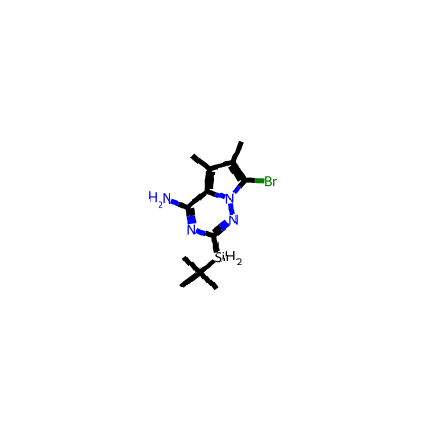 Cc1c(C)c2c(N)nc([SiH2]C(C)(C)C)nn2c1Br